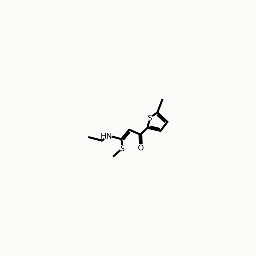 CCNC(=CC(=O)c1ccc(C)s1)SC